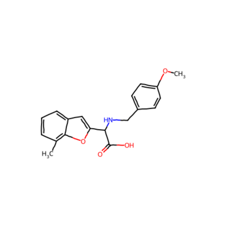 COc1ccc(CNC(C(=O)O)c2cc3cccc(C)c3o2)cc1